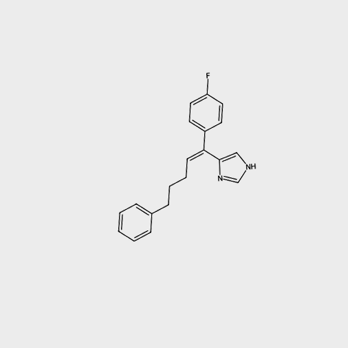 Fc1ccc(C(=CCCCc2ccccc2)c2c[nH]cn2)cc1